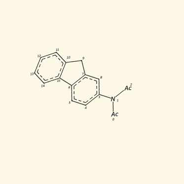 CC(=O)N(C(C)=O)c1ccc2c(c1)Cc1ccccc1-2